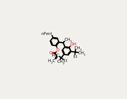 C=CC(=O)Oc1ccc(CCCCC)cc1C(C)c1cc(C(C)(C)CC)cc(C(C)(C)CC)c1O